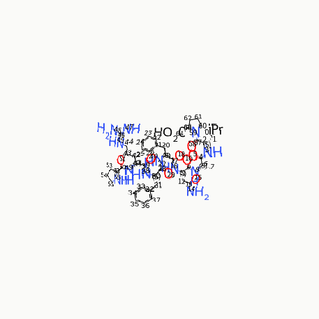 CC(C)C[C@H](NC(=O)[C@H](C)NC(=O)[C@H](CC(N)=O)NC(=O)[C@H](Cc1ccccc1)NC(=O)[C@H](Cc1ccccc1)NC(=O)[C@H](CCCNC(=N)N)NC(=O)[C@@H]1CCCN1)C(=O)N1CCC[C@@H]1C(=O)O